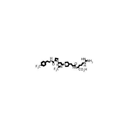 N=C(N)NCCC[C@H](NC(=O)CCC1CCN(c2cc(N3CC[C@H]3C(=O)NCCc3ccc(C(F)(F)F)cc3)nc(C(F)(F)F)n2)CC1)C(=O)O